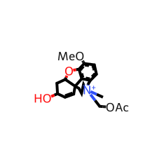 COc1ccc2c3c1OC1CC(O)C=CC31CCC[N+](C)(COC(C)=O)C2